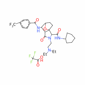 CCN(CC)CCN1C(=O)C2C(NC(=O)c3ccc(C(F)(F)F)cc3)C3CCC2(O3)C1C(=O)NC1CCCCC1.O=C(O)C(F)(F)F